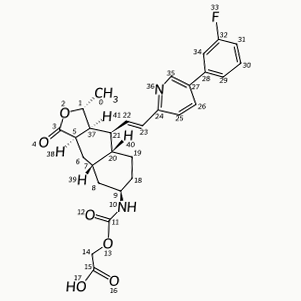 C[C@H]1OC(=O)[C@@H]2C[C@H]3C[C@H](NC(=O)OCC(=O)O)CC[C@H]3[C@H](C=Cc3ccc(-c4cccc(F)c4)cn3)[C@H]12